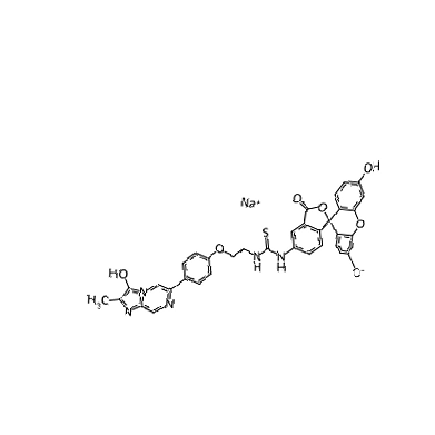 Cc1nc2cnc(-c3ccc(OCCNC(=S)Nc4ccc5c(c4)C(=O)OC54c5ccc([O-])cc5Oc5cc(O)ccc54)cc3)cn2c1O.[Na+]